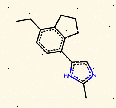 CCc1ccc(-c2cnc(C)[nH]2)c2c1CCC2